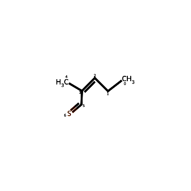 CCC=C(C)C=S